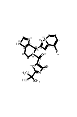 CC(C)(O)c1nc(Br)c(C(=O)N2CCc3[nH]cnc3[C@H]2c2cc3c(F)cccn3n2)o1